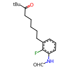 CC(C)(C)C(=O)CCCCCc1cccc(NC=O)c1F